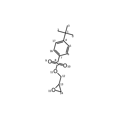 CC(C)(C)c1ccc(S(=O)(=O)OCC2CO2)cc1